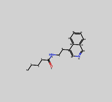 CCCCC(=O)NCCc1cncc2ccccc12